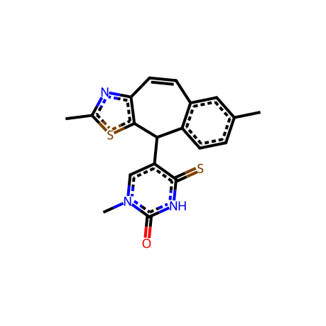 Cc1ccc2c(c1)C=Cc1nc(C)sc1C2c1cn(C)c(=O)[nH]c1=S